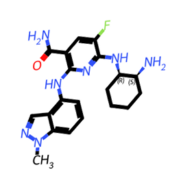 Cn1ncc2c(Nc3nc(N[C@@H]4CCCC[C@@H]4N)c(F)cc3C(N)=O)cccc21